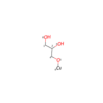 OCC(O)C[O][Cu]